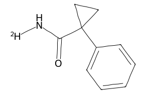 [2H]NC(=O)C1(c2ccccc2)CC1